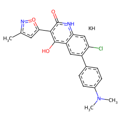 Cc1cc(-c2c(O)c3cc(-c4ccc(N(C)C)cc4)c(Cl)cc3[nH]c2=O)on1.[KH]